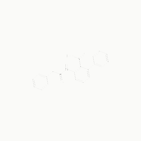 O=C(Cc1ccccc1)Nc1cccc(-c2ccccc2)c1C(=O)O